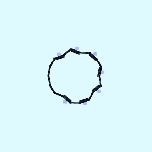 [C]1=C/C=C/C=C\C=C\C=C\C=C/C=C/CCCC/1